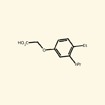 CCCc1cc(OCC(=O)O)ccc1CC